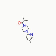 Cc1ccc(N2CCN(C(=O)C(C)C)CC2)nc1